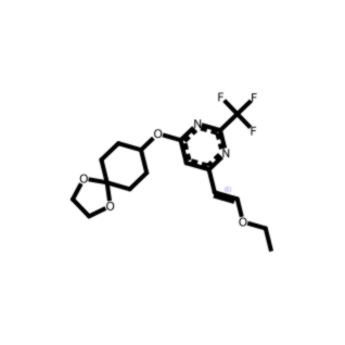 CCO/C=C/c1cc(OC2CCC3(CC2)OCCO3)nc(C(F)(F)F)n1